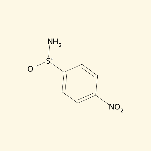 N[S+]([O-])c1ccc([N+](=O)[O-])cc1